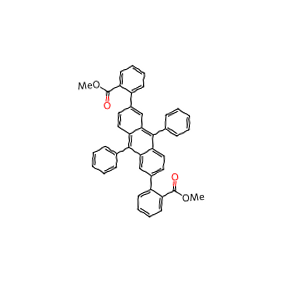 COC(=O)c1ccccc1-c1ccc2c(-c3ccccc3)c3cc(-c4ccccc4C(=O)OC)ccc3c(-c3ccccc3)c2c1